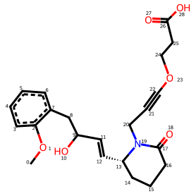 COc1ccccc1CC(O)/C=C/[C@H]1CCCC(=O)N1CC#COCCC(=O)O